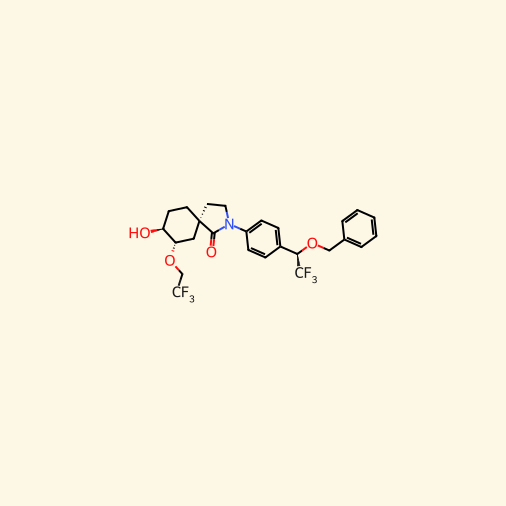 O=C1N(c2ccc([C@@H](OCc3ccccc3)C(F)(F)F)cc2)CC[C@]12CC[C@H](O)[C@@H](OCC(F)(F)F)C2